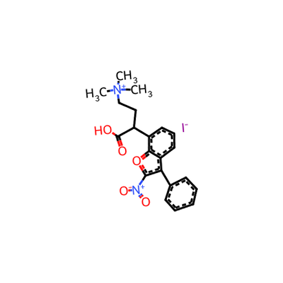 C[N+](C)(C)CCC(C(=O)O)c1cccc2c(-c3ccccc3)c([N+](=O)[O-])oc12.[I-]